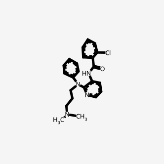 CN(C)CCCN(c1ccccc1)c1ncccc1NC(=O)c1ccccc1Cl